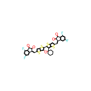 O=C1C(=O)c2c(F)cc(F)cc2/C1=C/c1cc2sc3c(c2s1)OC1(CCCCC1)c1c-3sc2cc(/C=C3\C(=O)C(=O)c4c(F)cc(F)cc43)sc12